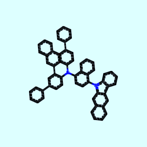 c1ccc(-c2ccc(N(c3ccc(-c4ccccc4)cc3-c3ccc4ccccc4c3)c3ccc(-n4c5ccccc5c5cc6ccccc6cc54)c4ccccc34)cc2)cc1